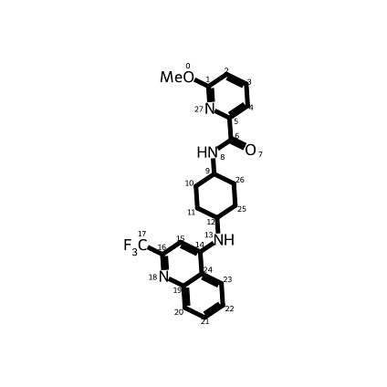 COc1cccc(C(=O)NC2CCC(Nc3cc(C(F)(F)F)nc4ccccc34)CC2)n1